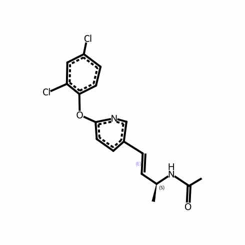 CC(=O)N[C@@H](C)/C=C/c1ccc(Oc2ccc(Cl)cc2Cl)nc1